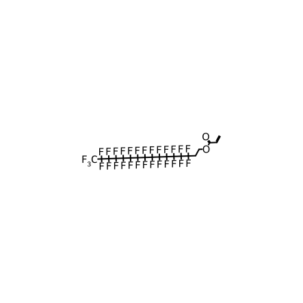 C=CC(=O)OCCC(F)(F)C(F)(F)C(F)(F)C(F)(F)C(F)(F)C(F)(F)C(F)(F)C(F)(F)C(F)(F)C(F)(F)C(F)(F)C(F)(F)C(F)(F)C(F)(F)F